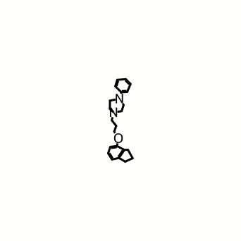 c1ccc(N2CCN(CCCOc3cccc4c3CCC4)CC2)cc1